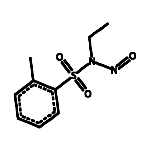 CCN(N=O)S(=O)(=O)c1ccccc1C